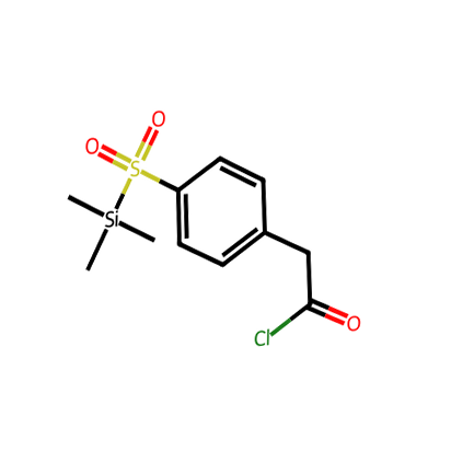 C[Si](C)(C)S(=O)(=O)c1ccc(CC(=O)Cl)cc1